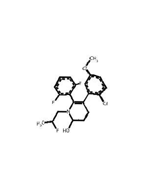 COc1ccc(Cl)c(C2=C(c3c(F)cccc3F)N(CC(C)F)C(O)CC2)c1